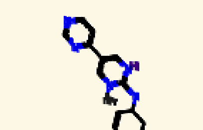 CCCn1cc(-c2ccncn2)cnc1=NC1C=CC=CC1.I